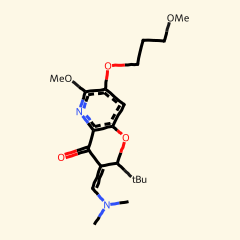 COCCCOc1cc2c(nc1OC)C(=O)C(=CN(C)C)C(C(C)(C)C)O2